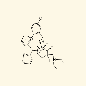 CCN(CC)C[C@@H]1CN2CC[C@H]1[C@@H](NCc1cc(OC)ccc1OC)[C@H]2C(c1ccccc1)c1ccccc1